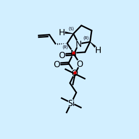 C=CC[C@@H]1[C@@H]2CC[C@H](CN1C(=O)OCC[Si](C)(C)C)N2C(=O)OC(C)(C)C